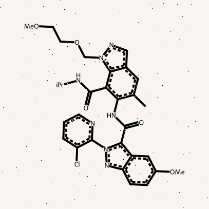 COCCOCn1ncc2cc(C)c(NC(=O)c3c4cc(OC)ccc4nn3-c3ncccc3Cl)c(C(=O)NC(C)C)c21